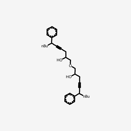 CCCCC(C#CCC(O)COCC(O)CC#CC(CCCC)c1ccccc1)c1ccccc1